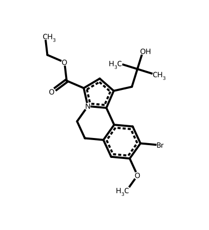 CCOC(=O)c1cc(CC(C)(C)O)c2n1CCc1cc(OC)c(Br)cc1-2